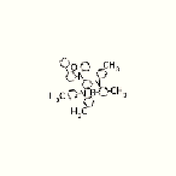 Cc1ccc(N2c3cc(C)ccc3B3c4ccc(C)cc4N(c4ccc(C)cc4)c4cc(N(c5ccccc5)c5cccc6c5oc5ccccc56)cc2c43)cc1